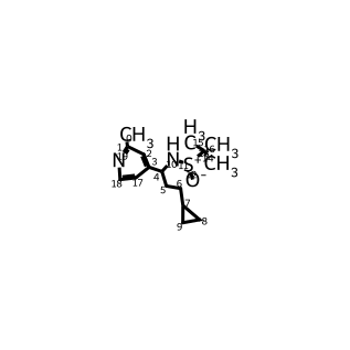 Cc1cc(C(CCC2CC2)N[S+]([O-])C(C)(C)C)ccn1